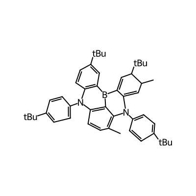 Cc1ccc2c3c1N(c1ccc(C(C)(C)C)cc1)C1=CC(C)C(C(C)(C)C)C=C1B3c1cc(C(C)(C)C)ccc1N2c1ccc(C(C)(C)C)cc1